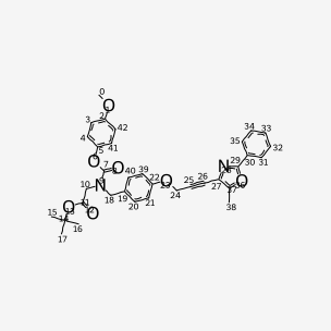 COc1ccc(OC(=O)N(CC(=O)OC(C)(C)C)Cc2ccc(OCC#Cc3nc(-c4ccccc4)oc3C)cc2)cc1